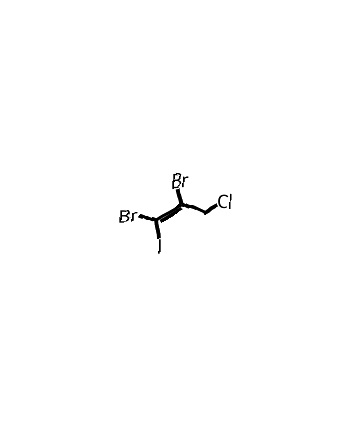 ClC/C(Br)=C(/Br)I